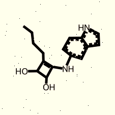 CCCCC1=C(Nc2ccc3[nH]ccc3c2)C(O)C1O